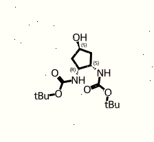 CC(C)(C)OC(=O)N[C@H]1C[C@H](O)C[C@H]1NC(=O)OC(C)(C)C